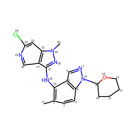 Cc1ccc2c(cnn2C2CCCCO2)c1Nc1nn(C)c2cc(Cl)ncc12